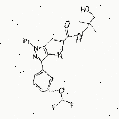 CC(C)n1nc(-c2cccc(OC(F)F)c2)c2ncc(C(=O)NC(C)(C)CO)cc21